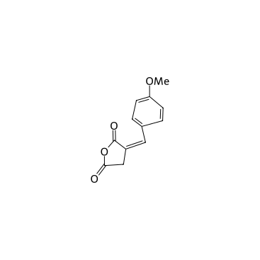 COc1ccc(C=C2CC(=O)OC2=O)cc1